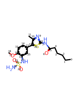 CCCCCC(=O)Nc1nc(C)c(-c2ccc(OC)c(NS(N)(=O)=O)c2)s1